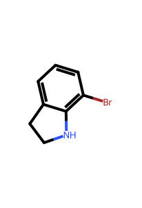 Brc1cccc2c1NCC2